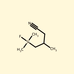 CC(CC#N)C[Si](C)(C)F